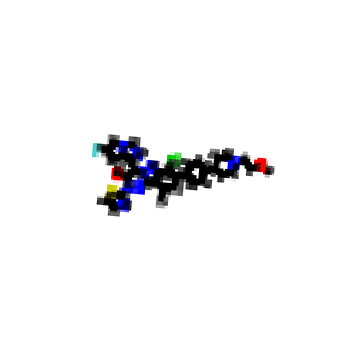 COCCN1CCC(c2ccc(-c3cc(C)c4cn(C(C(=O)Nc5nccs5)c5ncn6c5CC(F)C6)nc4c3Cl)cc2)CC1